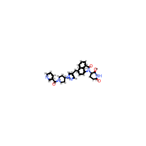 O=C1CCC(N2C(=O)c3cccc4c(Cc5cnn(C6CCN(C(=O)c7cccnc7)CC6)c5)ccc2c34)C(=O)N1